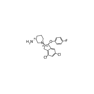 N[C@@H]1CCCN([C@@H]2Cc3c(Cl)cc(Cl)cc3[C@@H]2Oc2ccc(F)cc2)C1